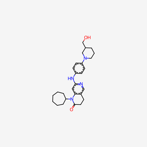 O=C1CCc2cnc(Nc3ccc(N4CCCC(CO)C4)cc3)cc2N1C1CCCCCC1